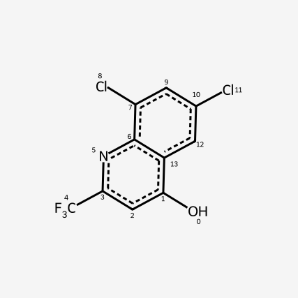 Oc1cc(C(F)(F)F)nc2c(Cl)cc(Cl)cc12